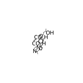 CC1=NCCn2c1ccc2-c1ccc(OCCC(C)O)cc1.O=C(O)C=CC(=O)O